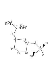 CCCC(CCC)CC1C=C(CC(C)(F)F)CCC1